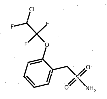 NS(=O)(=O)Cc1ccccc1OC(F)(F)C(F)Cl